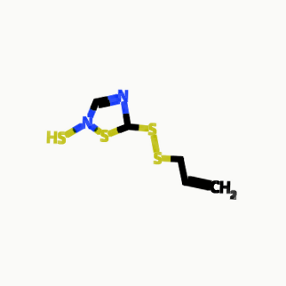 C=CCSSC1N=CN(S)S1